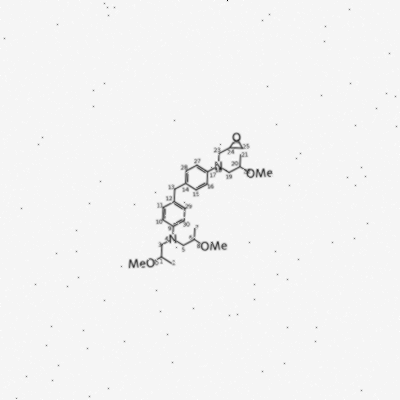 COC(C)CN(CC(C)OC)c1ccc(Cc2ccc(N(CC(C)OC)CC3CO3)cc2)cc1